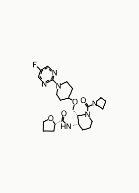 O=C(N[C@H]1CCCN(C(=O)N2CCC2)[C@H]1COC1CCN(c2ncc(F)cn2)CC1)[C@@H]1CCCO1